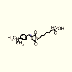 CN(C)c1ccc(/C=C2\CC(=O)N(CCCCCCC(=O)NO)C2=O)cc1